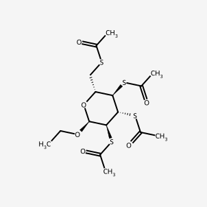 CCO[C@H]1O[C@H](CSC(C)=O)[C@@H](SC(C)=O)[C@H](SC(C)=O)[C@H]1SC(C)=O